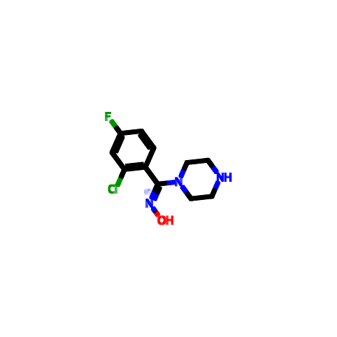 O/N=C(/c1ccc(F)cc1Cl)N1CCNCC1